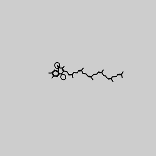 CC(C)=CCCC(C)=CCCC(C)=CCCC(C)=CCCC(C)=CCCC(C)=CCC1=C(C)C(=O)c2cc(C)c(C)cc2C1=O